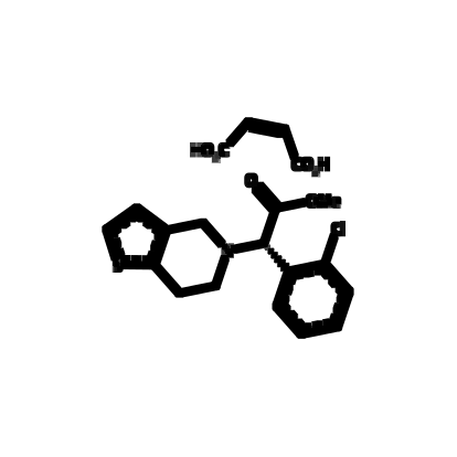 COC(=O)[C@H](c1ccccc1Cl)N1CCc2sccc2C1.O=C(O)/C=C\C(=O)O